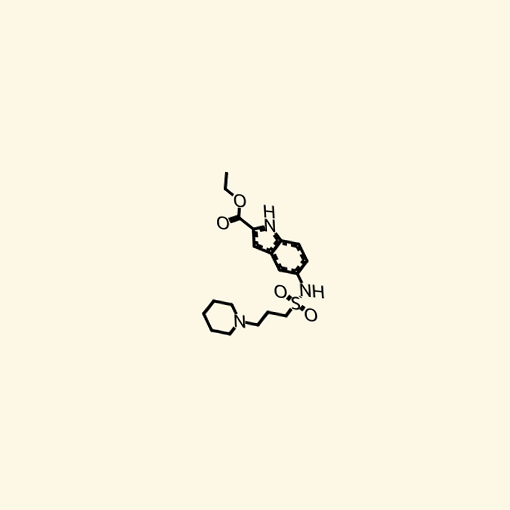 CCOC(=O)c1cc2cc(NS(=O)(=O)CCCN3CCCCC3)ccc2[nH]1